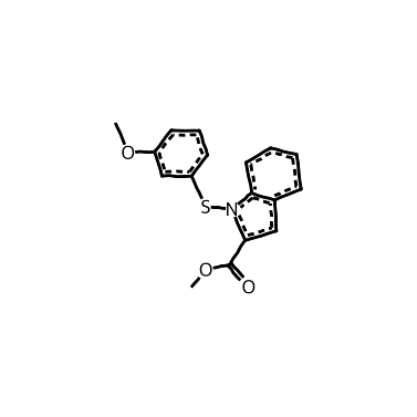 COC(=O)c1cc2ccccc2n1Sc1cccc(OC)c1